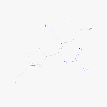 C[S+]([O-])c1nc(N)nc(-c2cc(C#N)co2)c1C#N